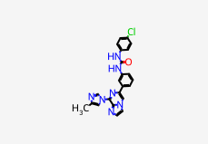 Cc1cn(-c2nc(-c3cccc(NC(=O)Nc4ccc(Cl)cc4)c3)cn3ccnc23)cn1